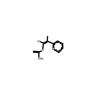 C=C(NC)O/C(CC)=C(/C)c1ccccn1